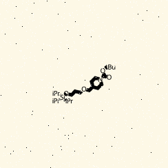 CC(C)[Si](OCCCOCC1CCN(C(=O)OC(C)(C)C)CC1)(C(C)C)C(C)C